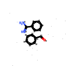 N=C(N)c1[c]cccc1.O=[C]c1ccccc1